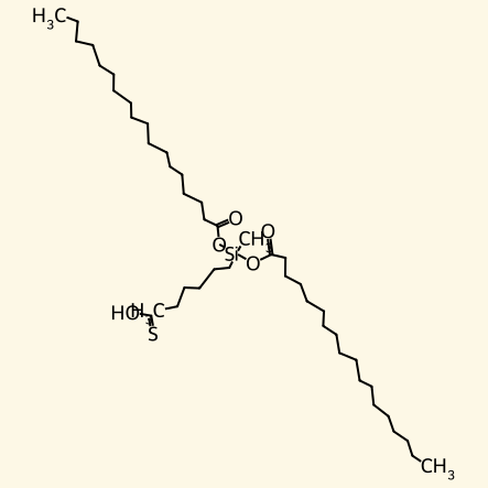 CCCCCCCCCCCCCCCCCC(=O)O[Si](C)(CCCCCC)OC(=O)CCCCCCCCCCCCCCCCC.OC=S